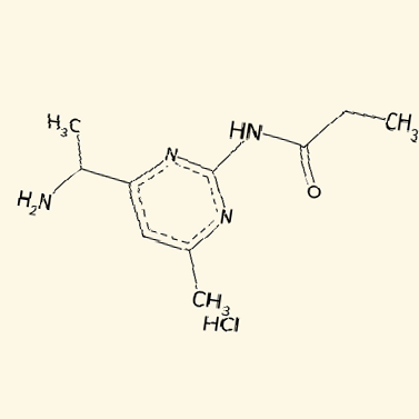 CCC(=O)Nc1nc(C)cc(C(C)N)n1.Cl